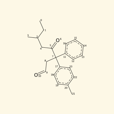 CCC(C)CC(=O)C(CC=O)(c1ccccc1)c1ccc(C)cc1